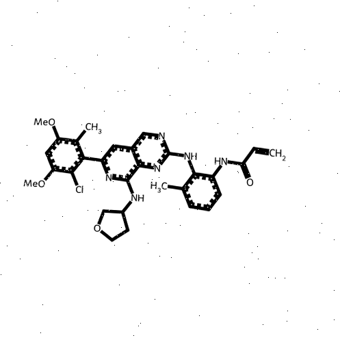 C=CC(=O)Nc1cccc(C)c1Nc1ncc2cc(-c3c(C)c(OC)cc(OC)c3Cl)nc(NC3CCOC3)c2n1